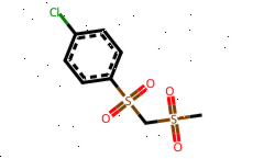 CS(=O)(=O)CS(=O)(=O)c1ccc(Cl)cc1